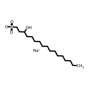 CCCCCCCCCCCCCCC(O)CCS(=O)(=O)[O-].[Na+]